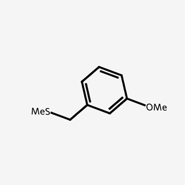 [CH2]SCc1cccc(OC)c1